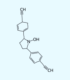 C#Cc1ccc(C2CCC(C3=CCC(C#C)C=C3)N2O)cc1